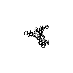 COCCn1ncc2c(C(=O)O)cc(N3CCCn4c(c(CCCOc5cc(C)c(Cl)c(C)c5)c5ccc(Cl)c(-c6c(C)nn(C)c6C)c54)C3=O)cc21